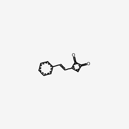 O=c1cc(C=Cc2ccccc2)c1=O